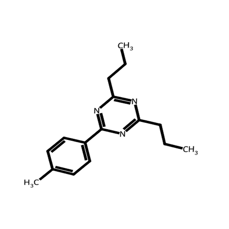 CCCc1nc(CCC)nc(-c2ccc(C)cc2)n1